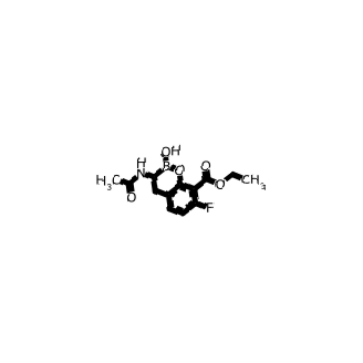 CCOC(=O)c1c(F)ccc2c1OB(O)C(NC(C)=O)C2